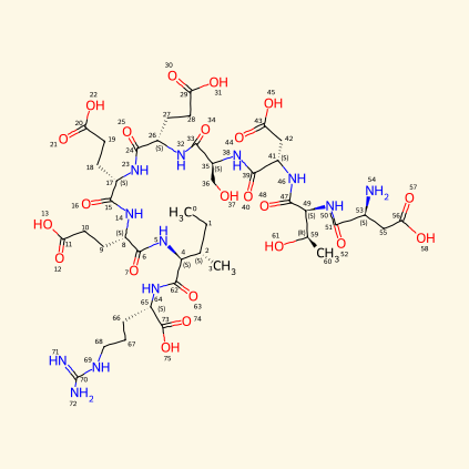 CC[C@H](C)[C@H](NC(=O)[C@H](CCC(=O)O)NC(=O)[C@H](CCC(=O)O)NC(=O)[C@H](CCC(=O)O)NC(=O)[C@H](CO)NC(=O)[C@H](CC(=O)O)NC(=O)[C@@H](NC(=O)[C@@H](N)CC(=O)O)[C@@H](C)O)C(=O)N[C@@H](CCCNC(=N)N)C(=O)O